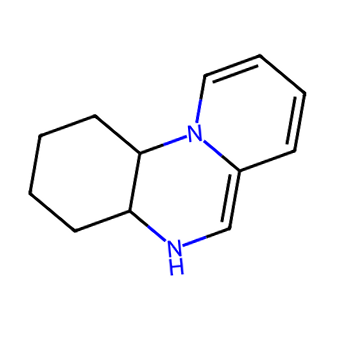 C1=CC2=CNC3CCCCC3N2C=C1